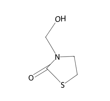 O=C1SCCN1CO